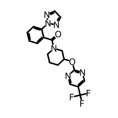 O=C(c1ccccc1-n1nccn1)N1CCCC(Oc2ncc(C(F)(F)F)cn2)C1